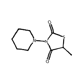 CC1SC(=O)N(N2CCCCC2)C1=O